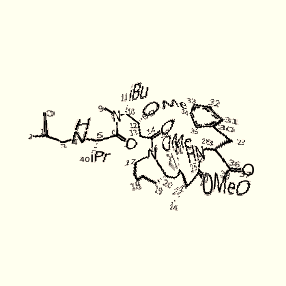 C=C(C)CN[C@H](C(=O)N(C)[C@@H]([C@@H](C)CC)[C@@H](CC(=O)N1CCC[C@H]1[C@H](OC)[C@@H](C)C(=O)N[C@@H](Cc1ccccc1)C(=O)OC)OC)C(C)C